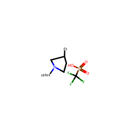 CCCCCCN1CCC(CC)C1.O=S(=O)(O)C(F)(F)F